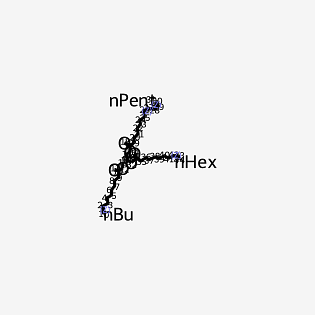 CCCC/C=C\CCCCCCCC(=O)OC[C@H](COC(=O)CCCCCCC/C=C\C/C=C\CCCCC)OC(=O)CCCCCCC/C=C\CCCCCC